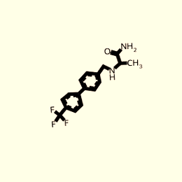 CC(NCc1ccc(-c2ccc(C(F)(F)F)cc2)cc1)C(N)=O